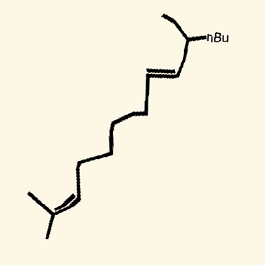 CCCCC(C)C=CCCCCC=C(C)C